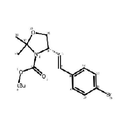 CC(C)(C)OC(=O)N1[C@@H](/C=C/c2ccc(Br)cc2)COC1(C)C